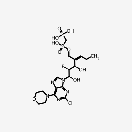 CC/C=C(/COP(=O)(O)CP(=O)(O)O)[C@@H](O)[C@H](F)[C@@H](O)n1cnc2c(N3CCOCC3)nc(Cl)nc21